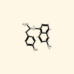 NCCc1ccc(O)cc1.Nc1cccc2cc(O)ccc12